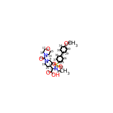 CCN(C(C(=O)O)C1CCN(C(=O)N2CCOCC2)CC1)S(=O)(=O)c1ccc(-c2ccc(OC)cc2)cc1